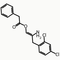 N/C(=C\OC(=O)Cc1ccccc1)Cc1ccc(Cl)cc1Cl